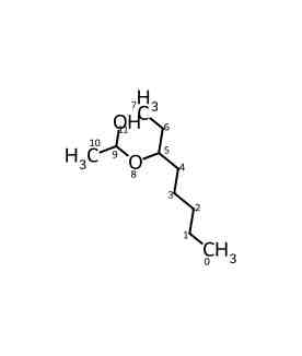 CCCCCC(CC)OC(C)O